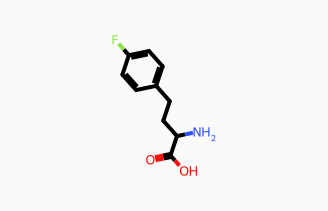 NC(CCc1ccc(F)cc1)C(=O)O